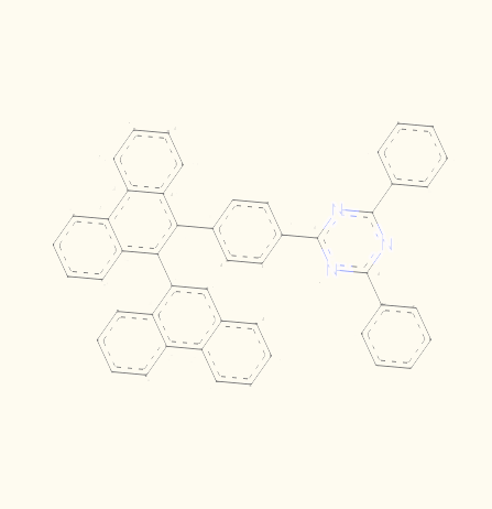 c1ccc(-c2nc(-c3ccccc3)nc(-c3ccc(-c4c(-c5cc6ccccc6c6ccccc56)c5ccccc5c5ccccc45)cc3)n2)cc1